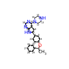 CC(Oc1ccc(-c2cc3c(N4CCNCC4)ncnc3[nH]2)cc1)c1ccccc1